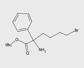 CC(C)(C)OC(=O)C(N)(CCCCBr)c1ccccc1